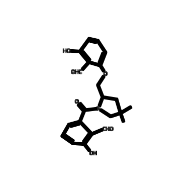 CC1(C)CC(COc2cccc(O)c2C=O)N(C(=O)c2cccc(O)c2C=O)C1